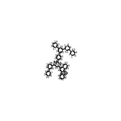 c1ccc(-c2cccc(-c3cc(-c4ccccc4)cc(-c4ccc(-c5nc(-c6cccc(-c7ccccc7)c6)cc(-c6cc7c8ccccc8oc7c7ccccc67)n5)cc4)c3)c2)cc1